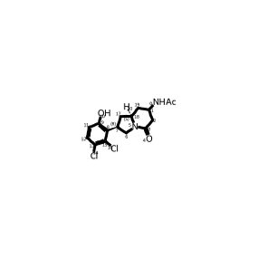 CC(=O)NC1CC(=O)N2C[C@@H](c3c(O)ccc(Cl)c3Cl)C[C@H]2C1